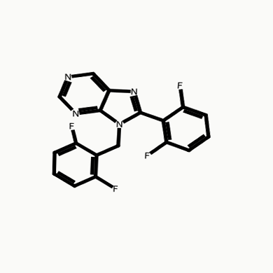 Fc1cccc(F)c1Cn1c(-c2c(F)cccc2F)nc2cncnc21